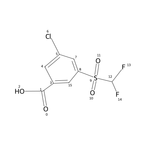 O=C(O)c1cc(Cl)cc(S(=O)(=O)C(F)F)c1